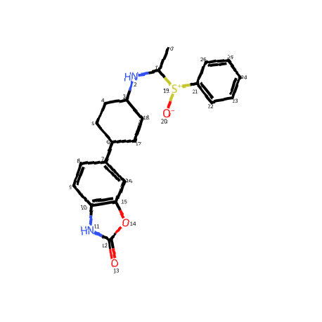 CC(NC1CCC(c2ccc3[nH]c(=O)oc3c2)CC1)[S+]([O-])c1ccccc1